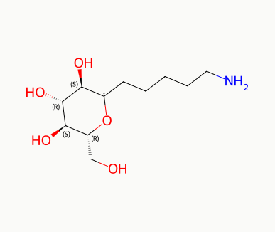 NCCCCC[C]1O[C@H](CO)[C@@H](O)[C@H](O)[C@H]1O